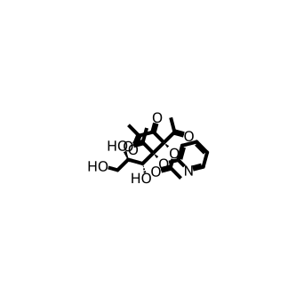 CC(=O)O[C@@](C(C)=O)(C(=O)C(C)=O)[C@](Oc1ccccn1)(C(C)=O)[C@H](O)[C@H](O)CO